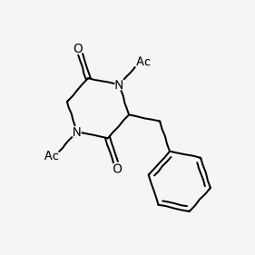 CC(=O)N1CC(=O)N(C(C)=O)C(Cc2ccccc2)C1=O